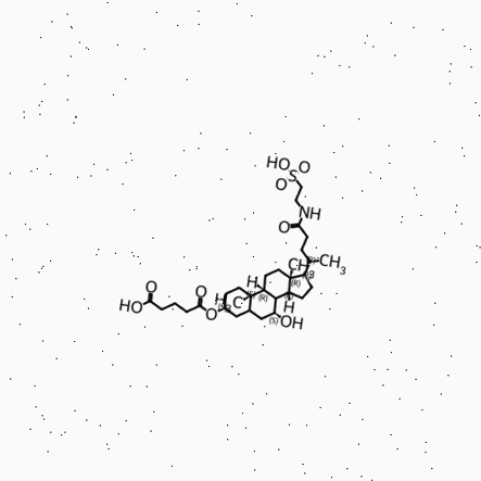 C[C@H](CCC(=O)NCCS(=O)(=O)O)[C@H]1CC[C@@H]2C3[C@@H](CC[C@@]21C)[C@@]1(C)CC[C@H](OC(=O)CCCC(=O)O)CC1C[C@@H]3O